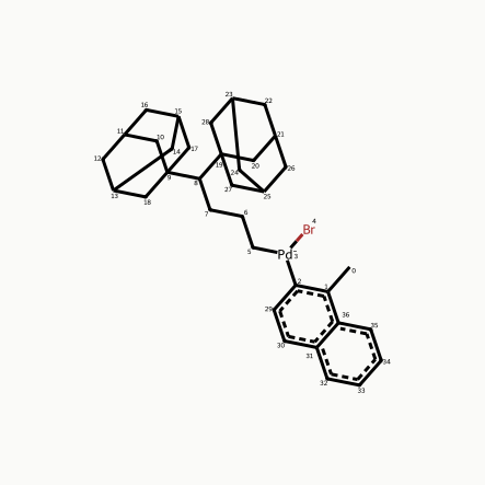 Cc1[c]([Pd-]([Br])[CH2]CCC(C23CC4CC(CC(C4)C2)C3)C23CC4CC(CC(C4)C2)C3)ccc2ccccc12